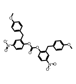 COc1ccc(Cc2cc([N+](=O)[O-])ccc2OC(=O)Oc2ccc([N+](=O)[O-])cc2Cc2ccc(OC)cc2)cc1